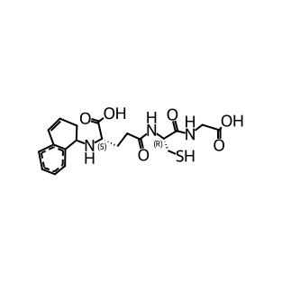 O=C(O)CNC(=O)[C@H](CS)NC(=O)CC[C@H](NC1CC=Cc2ccccc21)C(=O)O